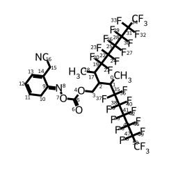 CC(C(COC(=O)ON=C1CC=CC=C1CC#N)C(C)C(F)(F)C(F)(F)C(F)(F)C(F)(F)C(F)(F)C(F)(F)F)C(F)(F)C(F)(F)C(F)(F)C(F)(F)C(F)(F)C(F)(F)F